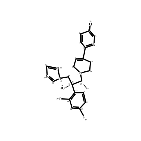 C[C@@H](N1CC=C(c2ccc(Cl)cn2)CC1)[C@](O)(Cn1cncn1)c1ccc(F)cc1F